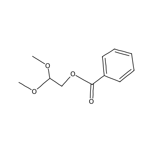 COC(COC(=O)c1ccccc1)OC